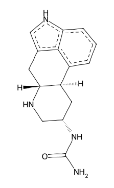 NC(=O)N[C@@H]1CN[C@@H]2Cc3c[nH]c4cccc(c34)[C@H]2C1